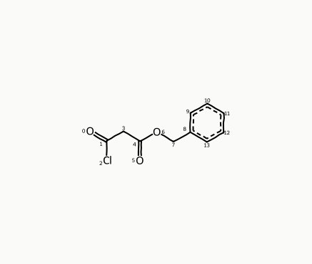 O=C(Cl)CC(=O)OCc1ccccc1